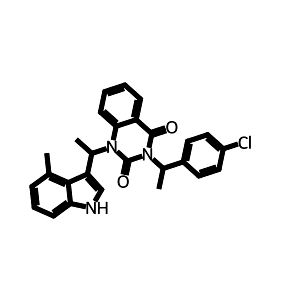 Cc1cccc2[nH]cc(C(C)n3c(=O)n(C(C)c4ccc(Cl)cc4)c(=O)c4ccccc43)c12